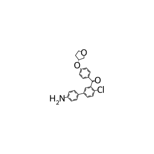 Nc1ccc(-c2ccc(Cl)c(C(=O)c3ccc(O[C@@H]4CCOC4)cc3)c2)cc1